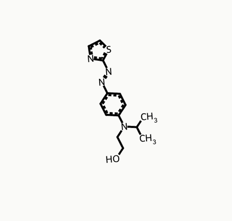 CC(C)N(CCO)c1ccc(/N=N/c2nccs2)cc1